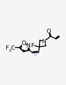 C=CC(=O)N1CC(F)(/C=C\c2cc(C(F)(F)F)on2)C1